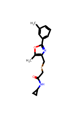 Cc1cccc(-c2nc(CSCC(=O)NC3CC3)c(C)o2)c1